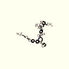 CCCCOCCOc1ccc(-c2ccc3c(c2)/C=C(/C(=O)Nc2ccc([S@@+]([O-])Cc4c(CC)ccnc4C)cc2)CCCN3C[C@@H]2CCCO2)cc1